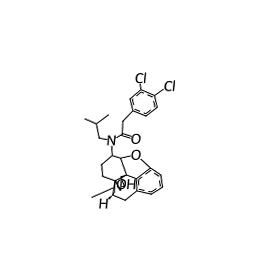 CC(C)CN(C(=O)Cc1ccc(Cl)c(Cl)c1)C1CC[C@@]2(O)[C@H]3Cc4cccc5c4[C@@]2(CCN3C)C1O5